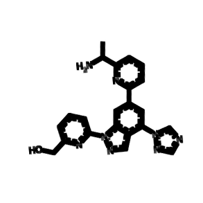 CC(N)c1cccc(-c2cc(-n3cncn3)c3cnn(-c4cccc(CO)n4)c3c2)n1